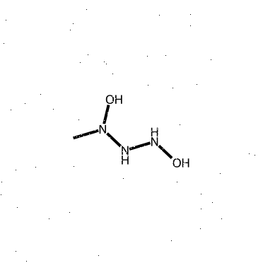 CN(O)NNO